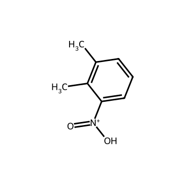 Cc1cccc([N+](=O)O)c1C